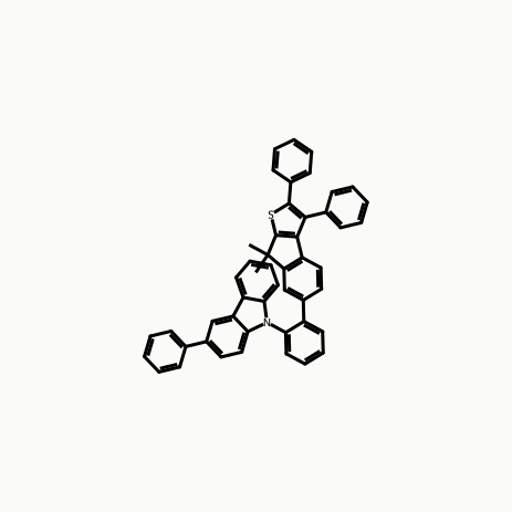 CC1(C)c2cc(-c3ccccc3-n3c4ccccc4c4cc(-c5ccccc5)ccc43)ccc2-c2c1sc(-c1ccccc1)c2-c1ccccc1